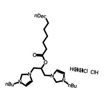 CCCCCCCCCCCCCCCC(=O)OC(CN1C=CN(CCCC)C1)CN1C=CN(CCCC)C1.Cl.Cl.Cl.Cl